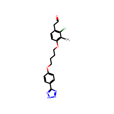 Cc1c(OCCCCOc2ccc(-c3nn[nH]n3)cc2)ccc(CC=O)c1Cl